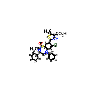 CC1SC(c2cc3c(cc2Cl)N(c2ccccc2)C[C@@H](C2CCCCC2)N(C)[S+]3[O-])NC1C(=O)O